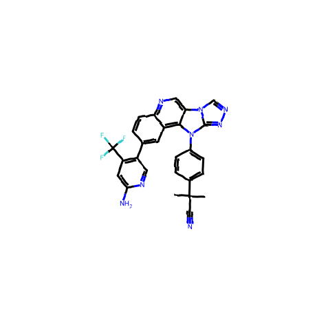 CC(C)(C#N)c1ccc(-n2c3c4cc(-c5cnc(N)cc5C(F)(F)F)ccc4ncc3n3cnnc23)cc1